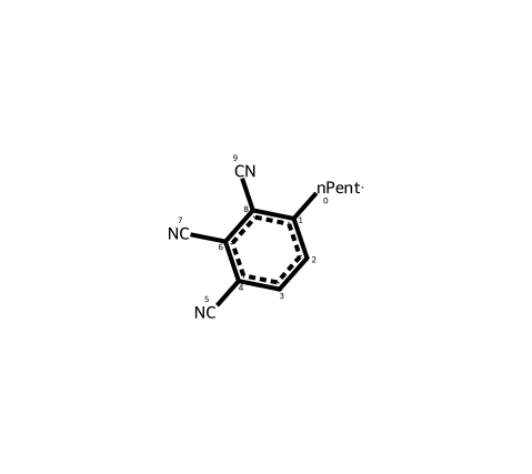 CCCC[CH]c1ccc(C#N)c(C#N)c1C#N